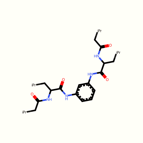 CC(C)CC(=O)NC(CC(C)C)C(=O)Nc1cccc(NC(=O)C(CC(C)C)NC(=O)CC(C)C)c1